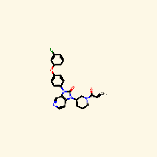 C=CC(=O)N1CCCC(n2c(=O)n(-c3ccc(Oc4cccc(F)c4)cc3)c3cnccc32)C1